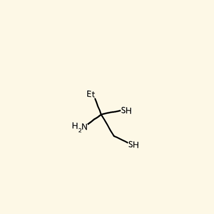 CCC(N)(S)CS